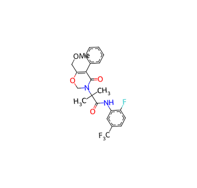 COCC1=C(c2ccccc2)C(=O)N(C(C)(C)C(=O)Nc2cc(C(F)(F)F)ccc2F)CO1